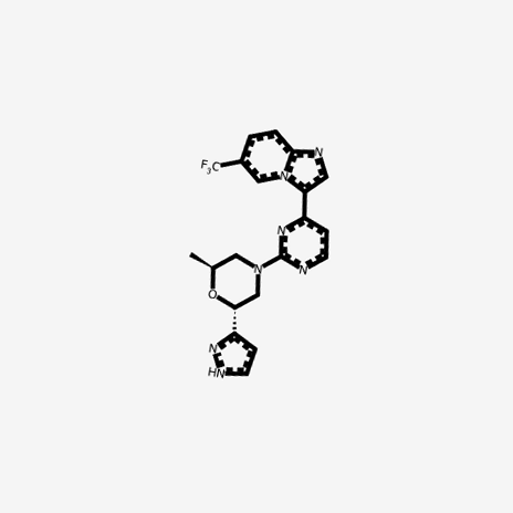 C[C@H]1CN(c2nccc(-c3cnc4ccc(C(F)(F)F)cn34)n2)C[C@H](c2cc[nH]n2)O1